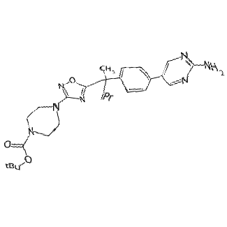 CC(C)C(C)(c1ccc(-c2cnc(N)nc2)cc1)c1nc(N2CCN(C(=O)OC(C)(C)C)CC2)no1